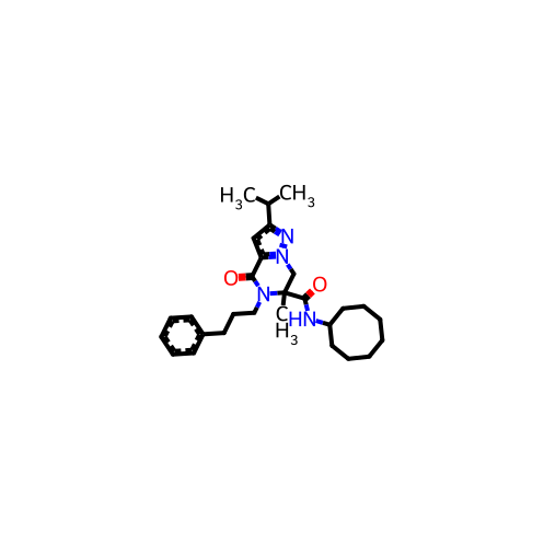 CC(C)c1cc2n(n1)CC(C)(C(=O)NC1CCCCCCC1)N(CCCc1ccccc1)C2=O